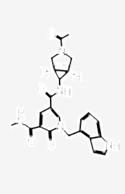 CNC(=O)c1cc(C(=O)NC2[C@H]3CN(C(C)=O)C[C@@H]23)cn(Cc2cccc3[nH]ccc23)c1=O